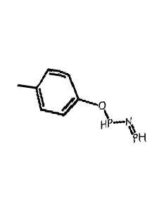 Cc1ccc(OPN=P)cc1